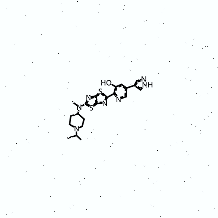 CC(C)N1CCC(N(C)c2nc3sc(-c4ncc(-c5cn[nH]c5)cc4O)nc3s2)CC1